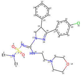 CCN(CC)S(=O)(=O)/N=C(\NCCN1CCOCC1)N1CC(c2ccccc2)C(c2ccc(Cl)cc2)=N1